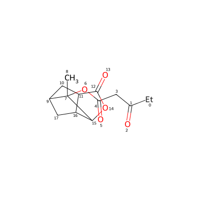 CCC(=O)CC(=O)OC1(C)C2CC3C(=O)OC1C3C2